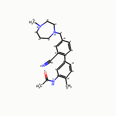 CC(=O)Nc1cc(-c2ccc(CN3CCCN(C)CC3)cc2C#N)ccc1C